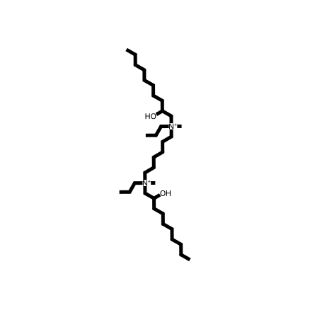 CCCCCCCCC(O)C[N+](C)(CCC)CCCCCC[N+](C)(CCC)CC(O)CCCCCCCC